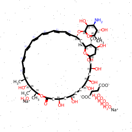 C[C@@H]1[C@H](O)[C@@H](C)/C=C/C=C/C=C/C=C/C=C/C=C/C=C/[C@H](O[C@@H]2O[C@H](C)[C@@H](O)[C@H](N)[C@@H]2O)C[C@@H]2O[C@](O)(C[C@@H](O)C[C@@H](O)[C@H](O)CC[C@@H](O)C[C@@H](O)CC(=O)O[C@H]1C)C[C@H](O)[C@H]2C(=O)O.O.O.O.O.O.O.O=C([O-])CCC(=O)[O-].[Na+].[Na+]